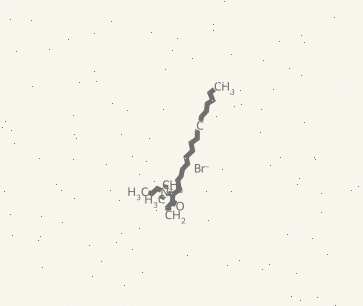 C=CC(=O)C(CCCCCCCCCCCCCCCCC)[N+](C)(C)CCC.[Br-]